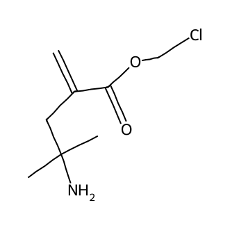 C=C(CC(C)(C)N)C(=O)OCCl